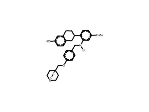 CCN(Cc1ccc(OCC23CCN(CC2)CC3)cc1)c1cc(OC)ccc1C1CCc2cc(O)ccc2C1